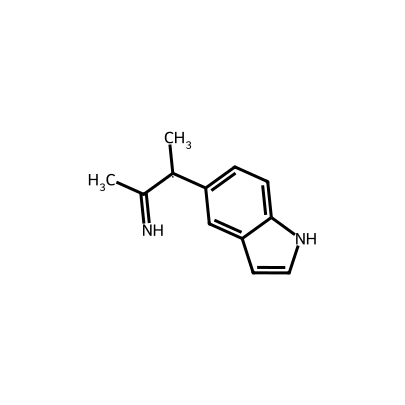 C[C](C(C)=N)c1ccc2[nH]ccc2c1